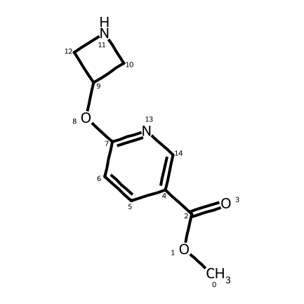 COC(=O)c1ccc(OC2CNC2)nc1